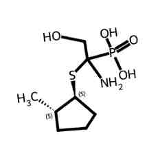 C[C@H]1CCC[C@@H]1SC(N)(CO)P(=O)(O)O